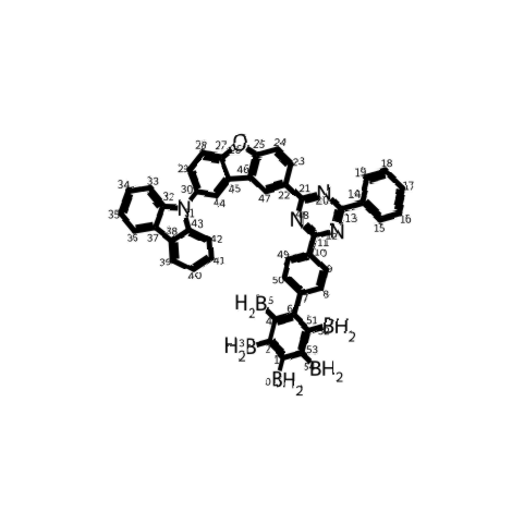 Bc1c(B)c(B)c(-c2ccc(-c3nc(-c4ccccc4)nc(-c4ccc5oc6ccc(-n7c8ccccc8c8ccccc87)cc6c5c4)n3)cc2)c(B)c1B